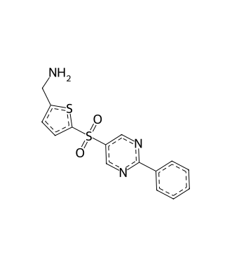 NCc1ccc(S(=O)(=O)c2cnc(-c3ccccc3)nc2)s1